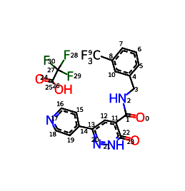 O=C(NCc1cccc(C(F)(F)F)c1)c1cc(-c2ccncc2)n[nH]c1=O.O=C(O)C(F)(F)F